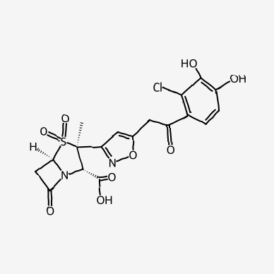 C[C@]1(c2cc(CC(=O)c3ccc(O)c(O)c3Cl)on2)[C@H](C(=O)O)N2C(=O)C[C@H]2S1(=O)=O